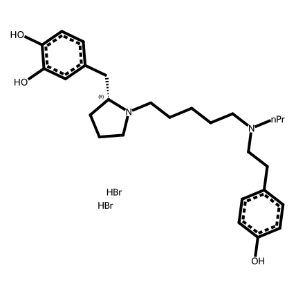 Br.Br.CCCN(CCCCCN1CCC[C@@H]1Cc1ccc(O)c(O)c1)CCc1ccc(O)cc1